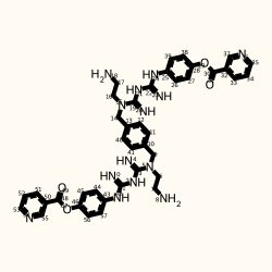 N=C(NC(=N)N(CCN)Cc1ccc(CN(CCN)C(=N)NC(=N)Nc2ccc(OC(=O)c3cccnc3)cc2)cc1)Nc1ccc(OC(=O)c2cccnc2)cc1